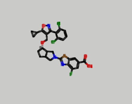 O=C(O)c1cc(F)c2nc(N3CC4CC[C@H](OCc5c(-c6c(Cl)cccc6Cl)noc5C5CC5)C4C3)sc2c1